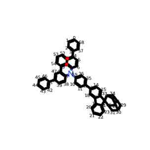 c1ccc(-c2ccc(N(c3ccc(-c4ccc5c(c4)-c4ccccc4C54C5CC6CC(C5)CC4C6)cc3)c3ccc(-c4ccccc4)cc3-c3ccccc3)cc2)cc1